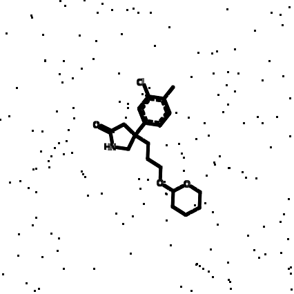 Cc1ccc(C2(CCCOC3CCCCO3)CNC(=O)C2)cc1Cl